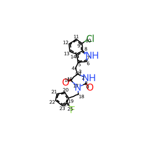 O=C1N[C@H](Cc2c[nH]c3c(Cl)cccc23)C(=O)N1Cc1ccccc1F